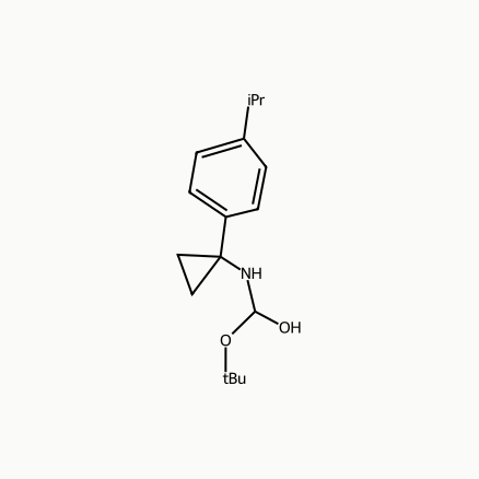 CC(C)c1ccc(C2(NC(O)OC(C)(C)C)CC2)cc1